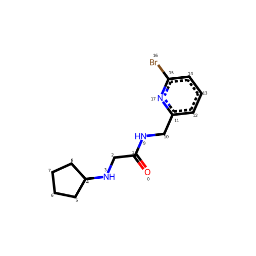 O=C(CNC1CCCC1)NCc1cccc(Br)n1